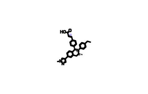 CCc1ccc(N2[C@H](c3ccc(/C=C/C(=O)O)cc3)c3ccc(-c4cnn(C)c4)cc3C[C@H]2C)cc1